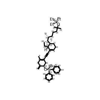 C=C1CC(C)=C(C#CC2=CCC[C@]3(C)[C@@H]([C@H](C)CCCC(C)(C)O[Si](CC)(CC)CC)CC[C@@H]23)C[C@H]1O[Si](c1ccccc1)(c1ccccc1)C(C)(C)C